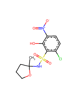 CC1(NS(=O)(=O)c2c(Cl)ccc([N+](=O)[O-])c2O)CCCO1